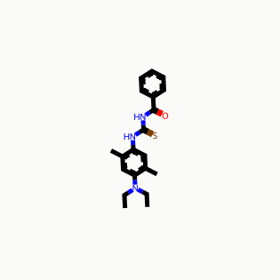 CCN(CC)c1cc(C)c(NC(=S)NC(=O)c2ccccc2)cc1C